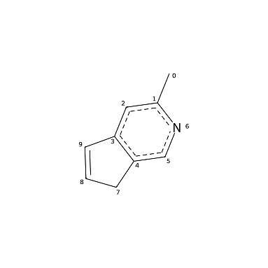 Cc1cc2c(cn1)CC=C2